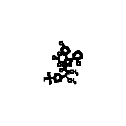 CC(C(=O)O)c1c(C(=O)N(C)[C@H](C)c2ccc(C(F)(F)F)cc2)nn(-c2ccccc2Cl)c1-c1ccc(Cl)cc1